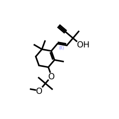 C#CC(C)(O)/C=C/C1=C(C)C(OC(C)(C)OC)CCC1(C)C